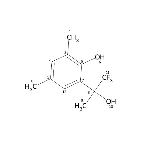 Cc1cc(C)c(O)c(C(C)(O)C(F)(F)F)c1